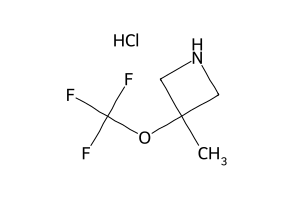 CC1(OC(F)(F)F)CNC1.Cl